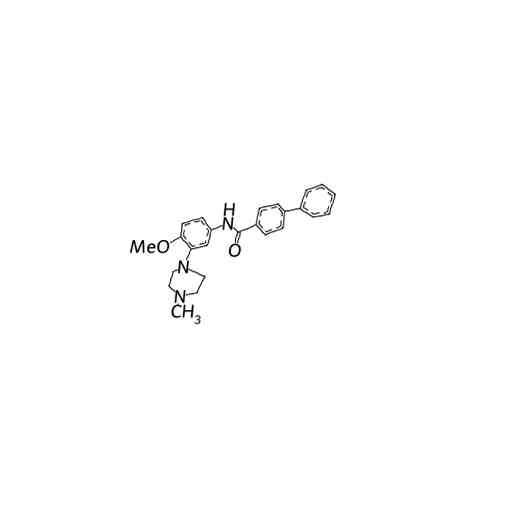 COc1ccc(NC(=O)c2ccc(-c3ccccc3)cc2)cc1N1CCN(C)CC1